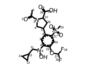 CC(=O)N1CC(c2cc(N(O)CC3CC3)c(OC(F)F)cc2S(C)(=O)=O)CC1C(=O)O